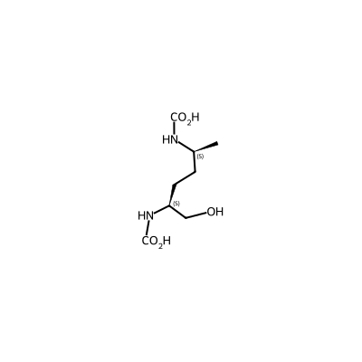 C[C@@H](CC[C@@H](CO)NC(=O)O)NC(=O)O